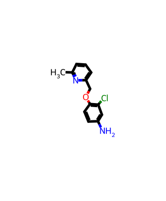 Cc1cccc(COc2ccc(N)cc2Cl)n1